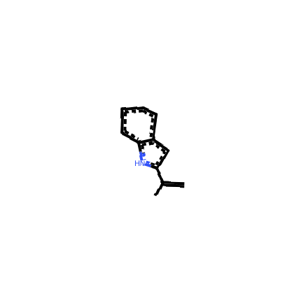 C=C(C)c1cc2ccccc2[nH]1